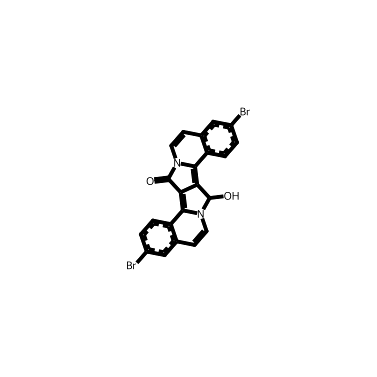 O=C1C2=C3c4ccc(Br)cc4C=CN3C(O)C2=C2c3ccc(Br)cc3C=CN12